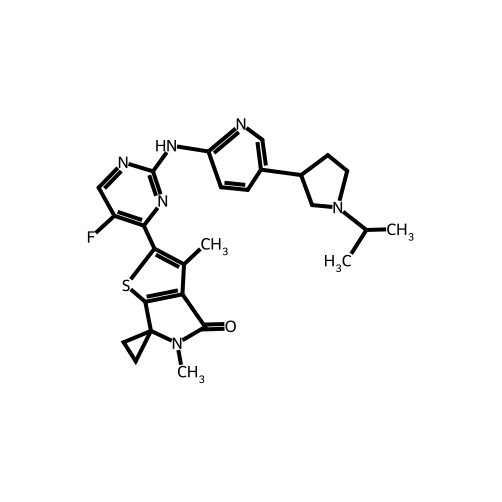 Cc1c(-c2nc(Nc3ccc(C4CCN(C(C)C)C4)cn3)ncc2F)sc2c1C(=O)N(C)C21CC1